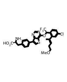 COCC/C=C(\C)c1cc(Cl)ccc1[C@@H](Oc1ncnc2c(-c3ccc(C[C@H](N)C(=O)O)cc3)csc12)C(F)(F)F